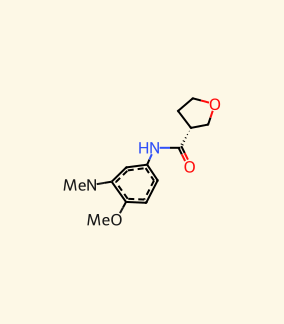 CNc1cc(NC(=O)[C@@H]2CCOC2)ccc1OC